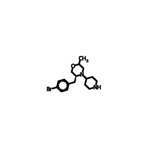 CC1CN(C2CCNCC2)[C@@H](Cc2ccc(Br)cc2)CO1